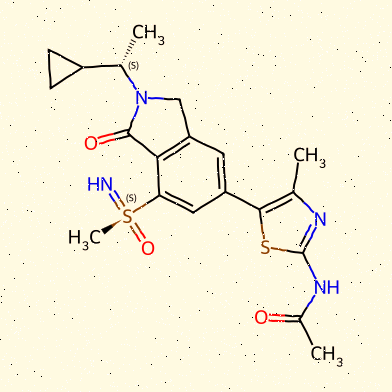 CC(=O)Nc1nc(C)c(-c2cc3c(c([S@@](C)(=N)=O)c2)C(=O)N([C@@H](C)C2CC2)C3)s1